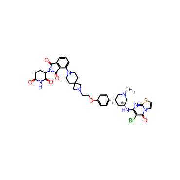 CN1C[C@H](Nc2nc3sccn3c(=O)c2Br)C[C@H](c2ccc(OCCN3CC4(CCN(c5cccc6c5C(=O)N(C5CCC(=O)NC5=O)C6=O)CC4)C3)cc2)C1